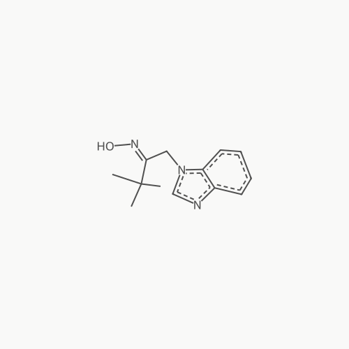 CC(C)(C)/C(Cn1cnc2ccccc21)=N\O